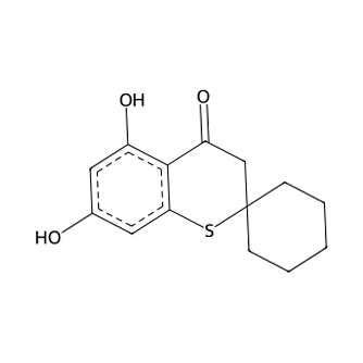 O=C1CC2(CCCCC2)Sc2cc(O)cc(O)c21